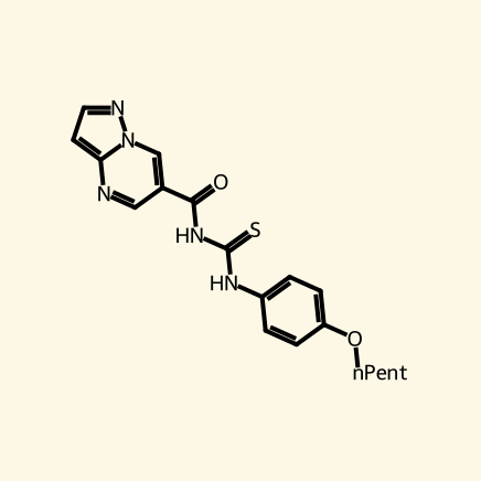 CCCCCOc1ccc(NC(=S)NC(=O)c2cnc3ccnn3c2)cc1